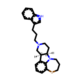 c1cc2c3c(c1)[C@H]1CN(CCCc4c[nH]c5ccccc45)CC[C@H]1N3CCCS2